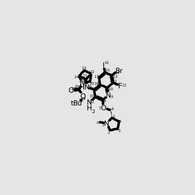 CN1CCC[C@H]1COc1nc2c(F)c(Br)c(I)cc2c(NC2C3CC2N(C(=O)OC(C)(C)C)C3)c1N